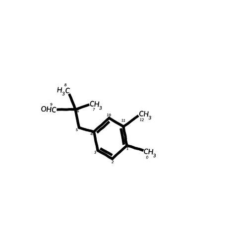 Cc1ccc(CC(C)(C)C=O)cc1C